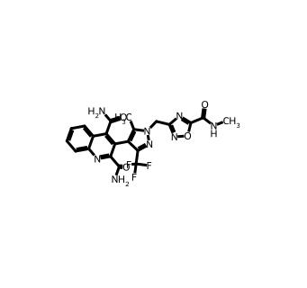 CNC(=O)c1nc(Cn2nc(C(F)(F)F)c(-c3c(C(N)=O)nc4ccccc4c3C(N)=O)c2C)no1